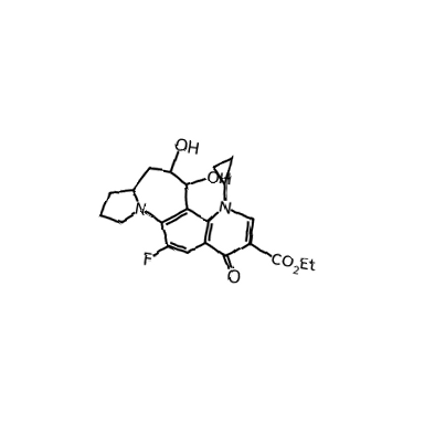 CCOC(=O)c1cn(C2CC2)c2c3c(c(F)cc2c1=O)N1CCCC1CC(O)C3O